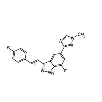 Cn1cnc(-c2cc(F)c3[nH]nc(/C=C/c4ccc(F)cc4)c3c2)n1